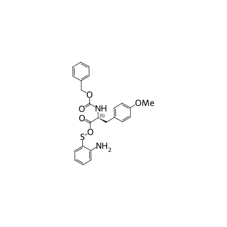 COc1ccc(C[C@H](NC(=O)OCc2ccccc2)C(=O)OSc2ccccc2N)cc1